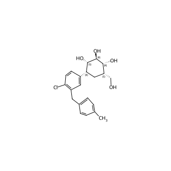 Cc1ccc(Cc2cc([C@H]3C[C@@H](CO)[C@@H](O)[C@H](O)[C@H]3O)ccc2Cl)cc1